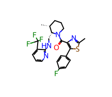 Cc1nc(C(=O)N2CCC[C@@H](C)[C@H]2CNc2ncccc2C(F)(F)F)c(-c2ccc(F)cc2)s1